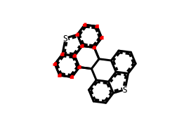 c1ccc2c(c1)-c1ccccc1C13c4cccc5sc6cccc(c6c45)C21c1cccc2sc4cccc3c4c12